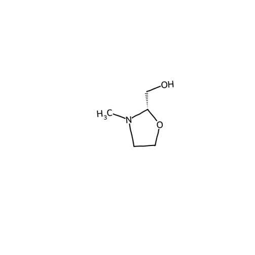 CN1CCO[C@H]1CO